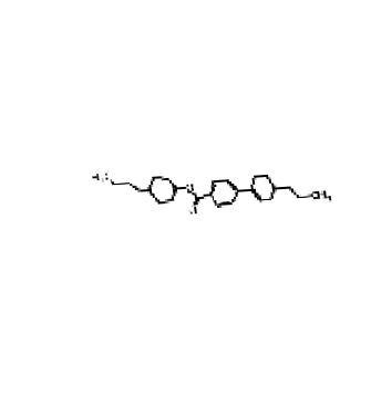 CCCCC1CCC(OC(=O)c2ccc(C3=CCC(CCC)CC3)cc2)CC1